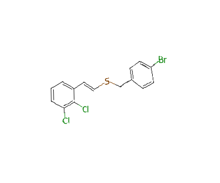 Clc1cccc(C=CSCc2ccc(Br)cc2)c1Cl